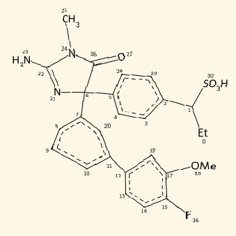 CCC(c1ccc(C2(c3cccc(-c4ccc(F)c(OC)c4)c3)N=C(N)N(C)C2=O)cc1)S(=O)(=O)O